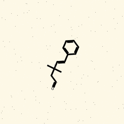 CC(C)(C=Cc1ccccc1)CC=O